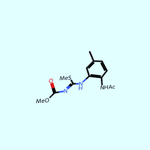 COC(=O)/N=C(/Nc1cc(C)ccc1NC(C)=O)SC